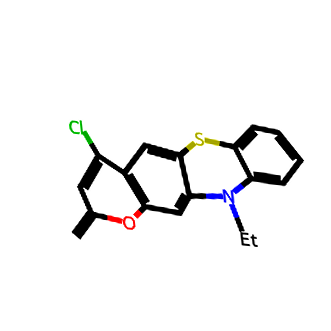 C=C1C=C(Cl)c2cc3c(cc2O1)N(CC)c1ccccc1S3